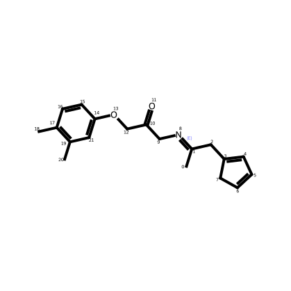 C/C(CC1=CC=CC1)=N\CC(=O)COc1ccc(C)c(C)c1